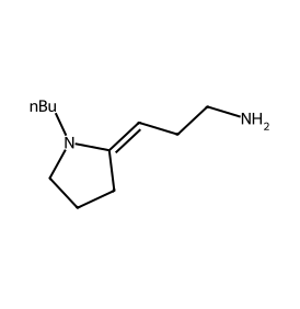 CCCCN1CCC/C1=C\CCN